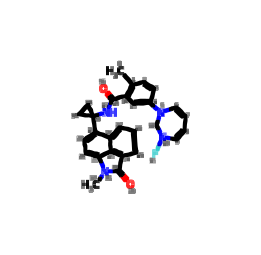 Cc1ccc(N2C=CC=CN(F)C2)cc1C(=O)NC1(c2ccc3c4c(cccc24)C(=O)N3C)CC1